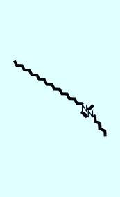 CCCCCCCCCCCCCCCCCCCN1C=CN(CCCCCC)C1C